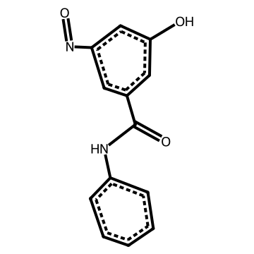 O=Nc1cc(O)cc(C(=O)Nc2ccccc2)c1